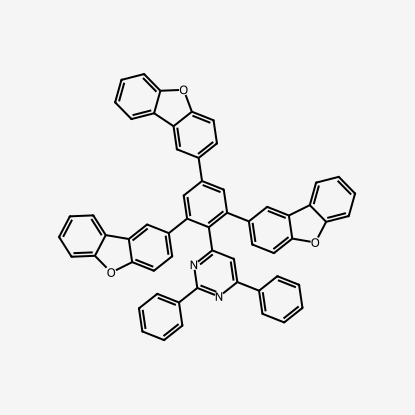 c1ccc(-c2cc(-c3c(-c4ccc5oc6ccccc6c5c4)cc(-c4ccc5oc6ccccc6c5c4)cc3-c3ccc4oc5ccccc5c4c3)nc(-c3ccccc3)n2)cc1